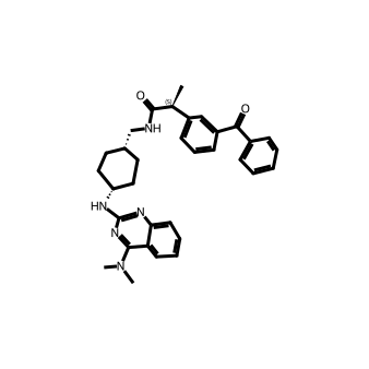 C[C@H](C(=O)NC[C@H]1CC[C@@H](Nc2nc(N(C)C)c3ccccc3n2)CC1)c1cccc(C(=O)c2ccccc2)c1